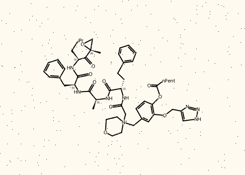 CCCCCC(=O)Oc1ccc(C[N+]2(CC(=O)N[C@@H](CCc3ccccc3)C(=O)N[C@@H](C)C(=O)N[C@@H](Cc3ccccc3)C(=O)N[C@@H](CC(C)C)C(=O)[C@@]3(C)CO3)CCOCC2)cc1OCc1c[nH]nn1